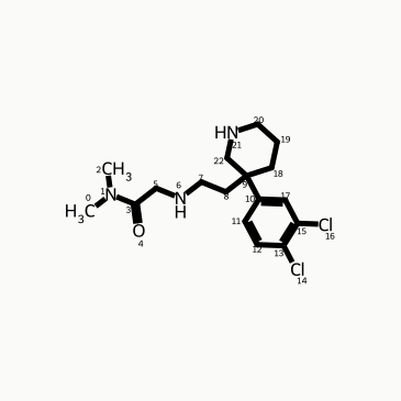 CN(C)C(=O)CNCCC1(c2ccc(Cl)c(Cl)c2)CCCNC1